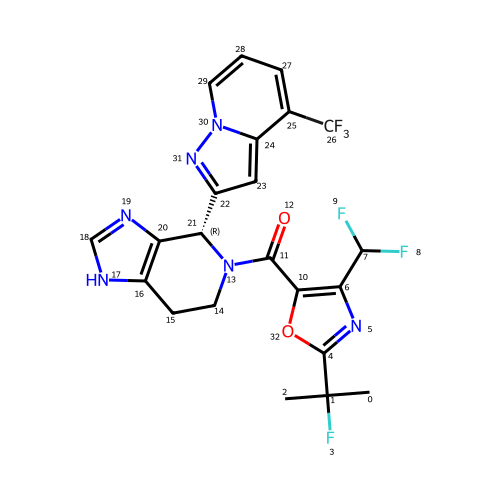 CC(C)(F)c1nc(C(F)F)c(C(=O)N2CCc3[nH]cnc3[C@@H]2c2cc3c(C(F)(F)F)cccn3n2)o1